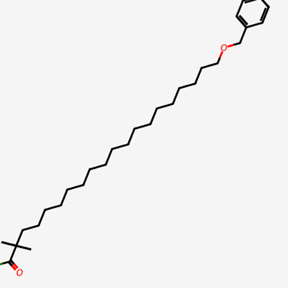 CC(C)(CCCCCCCCCCCCCCCCCCOCc1ccccc1)C(=O)Cl